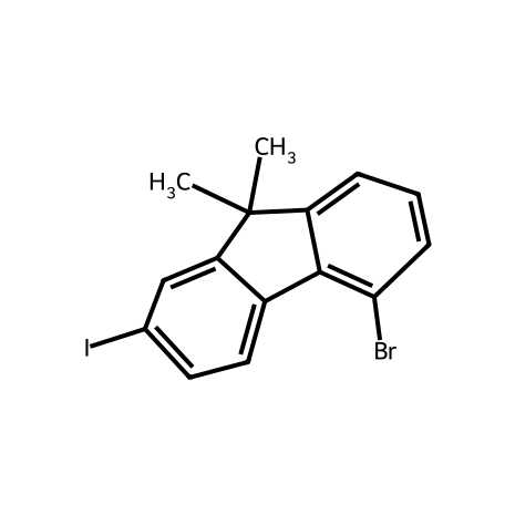 CC1(C)c2cc(I)ccc2-c2c(Br)cccc21